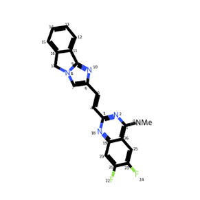 CNc1nc(C=Cc2cn3c(n2)-c2ccccc2C3)nc2cc(F)c(F)cc12